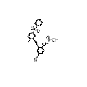 Cc1ccc(S(=O)(=O)c2ccccc2)cc1C#Cc1cc(C#N)ccc1OCC(=O)O